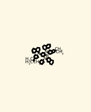 CC1(C)Cc2cc3c(cc2C1)N(C1CCCc2ccccc21)c1cc(N(c2ccc(C(C)(C)C)cc2)C2CCCc4ccccc42)cc2c1B3c1cc3c(cc1N2c1ccccc1)CCCC3